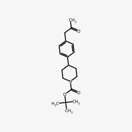 CC(=O)Cc1ccc(C2CCN(C(=O)OC(C)(C)C)CC2)cc1